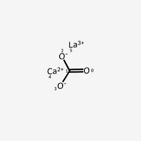 O=C([O-])[O-].[Ca+2].[La+3]